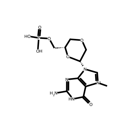 C[n+]1cn([C@H]2COC[C@@H](COP(=O)(O)O)O2)c2nc(N)[nH]c(=O)c21